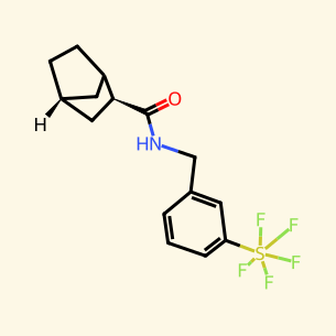 O=C(NCc1cccc(S(F)(F)(F)(F)F)c1)[C@H]1C[C@@H]2CCC1C2